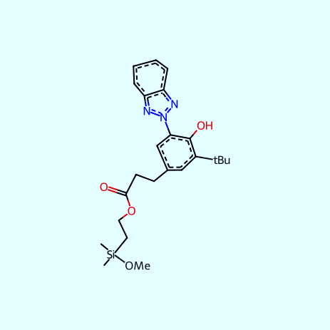 CO[Si](C)(C)CCOC(=O)CCc1cc(-n2nc3ccccc3n2)c(O)c(C(C)(C)C)c1